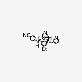 CCc1cc(C(Nc2ccc(C#N)cc2)C(=O)O)cc(N(Cc2cccnc2)Cc2cccnc2)c1